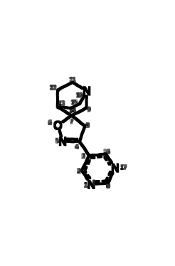 c1ncc(C2=NOC3(C2)CN2CCC3CC2)cn1